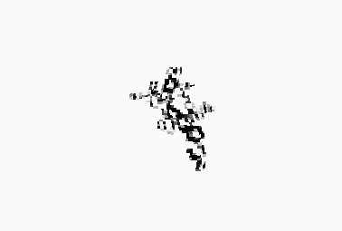 CCN1CCN(c2ccc(N(C(=O)OC(C)(C)C)c3cc(N(C)C(=O)N(C(=O)OC(C)(C)C)c4cc(O)cc(O)c4)ncn3)c([N+](=O)[O-])c2)CC1